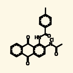 CC(=O)N(Cl)c1ccc2c(c1NC(=O)c1ccc(C)cc1)C(=O)c1ccccc1C2=O